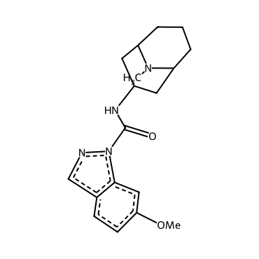 COc1ccc2cnn(C(=O)NC3CC4CCCC(C3)N4C)c2c1